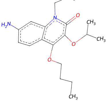 CCCCOc1c(OC(C)C)c(=O)n(CC)c2cc(N)ccc12